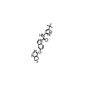 CC(C)(C)c1cc(NC(=O)n2ccc3cc(Oc4ncnc5c4CSC5)ccc32)no1